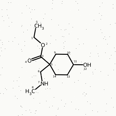 CCOC(=O)C1(CNC)CCC(O)CC1